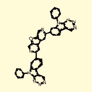 c1ccc(-n2c3cc(-c4cc5c(cn4)oc4cnc(-c6ccc7c8cnnnc8n(-c8ccccc8)c7c6)cc45)ccc3c3cnnnc32)cc1